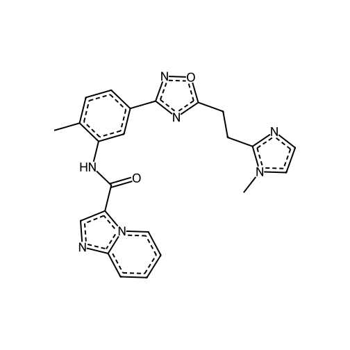 Cc1ccc(-c2noc(CCc3nccn3C)n2)cc1NC(=O)c1cnc2ccccn12